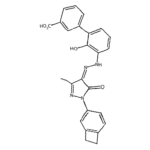 CC1=NN(c2ccc3c(c2)CC3)C(=O)C1=NNc1cccc(-c2cccc(C(=O)O)c2)c1O